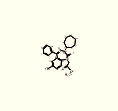 COC(=O)CN1C(=O)[C@H](C2CCCCCC2)N=C(c2ccccc2)c2cc(Cl)ccc21